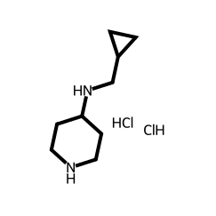 C1CC(NCC2CC2)CCN1.Cl.Cl